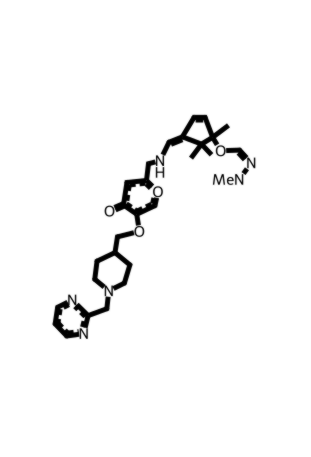 CN/N=C\OC1(C)C=C/C(=C/NCc2cc(=O)c(OCC3CCN(Cc4ncccn4)CC3)co2)C1(C)C